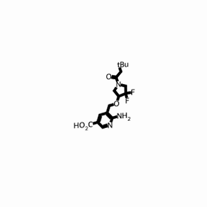 CC(C)(C)CC(=O)N1CC(OCc2cc(C(=O)O)cnc2N)C(F)(F)C1